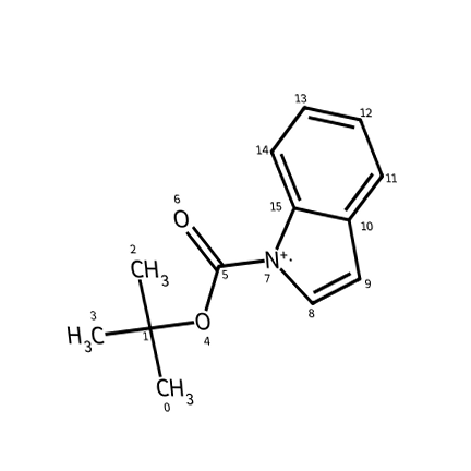 CC(C)(C)OC(=O)[N+]1C=Cc2ccccc21